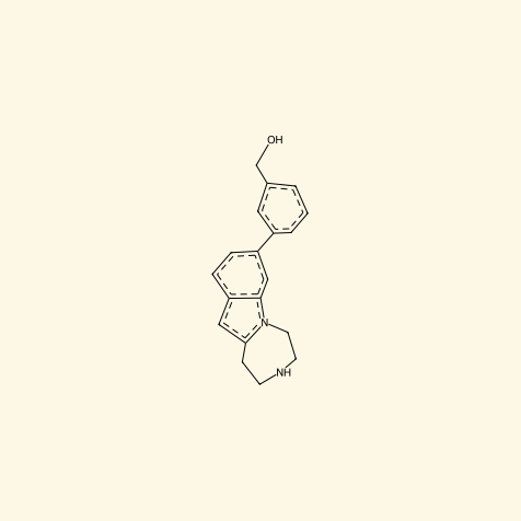 OCc1cccc(-c2ccc3cc4n(c3c2)CCNCC4)c1